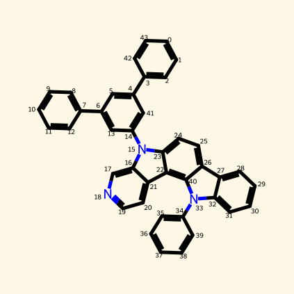 c1ccc(-c2cc(-c3ccccc3)cc(-n3c4cnccc4c4c3ccc3c5ccccc5n(-c5ccccc5)c34)c2)cc1